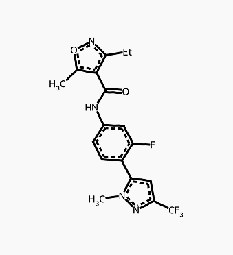 CCc1noc(C)c1C(=O)Nc1ccc(-c2cc(C(F)(F)F)nn2C)c(F)c1